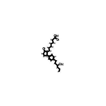 CCCC(O)CCc1ccc(C2CCC(=O)C2CCCCCCC(=O)O)cc1